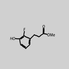 COC(=O)CCc1cccc(O)c1F